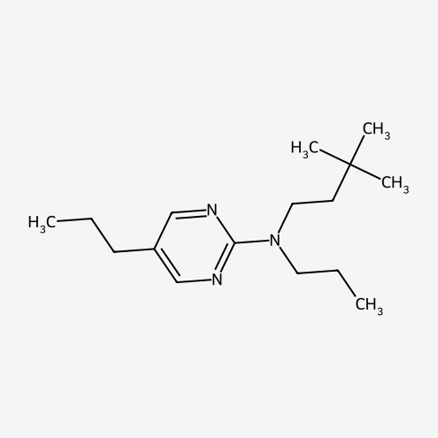 CCCc1cnc(N(CCC)CCC(C)(C)C)nc1